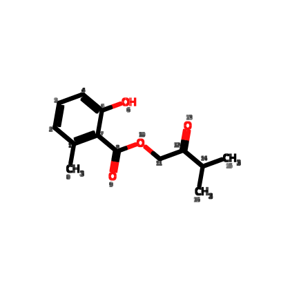 Cc1cccc(O)c1C(=O)OCC(=O)C(C)C